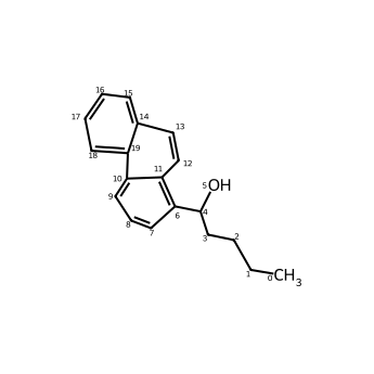 CCCCC(O)c1cccc2c1ccc1ccccc12